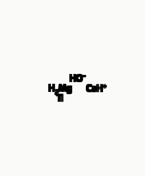 [CaH+].[MgH2].[OH-].[Ti]